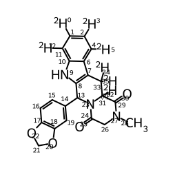 [2H]c1c([2H])c([2H])c2c3c([nH]c2c1[2H])C(c1ccc2c(c1)OCO2)N1C(=O)CN(C)C(=O)[C@@]1([2H])C3([2H])[2H]